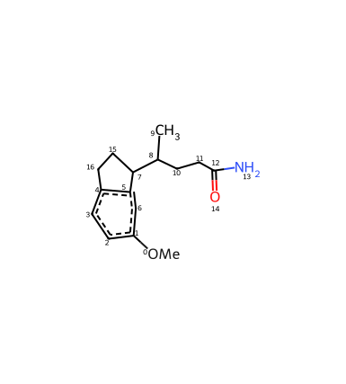 COc1ccc2c(c1)C(C(C)CCC(N)=O)CC2